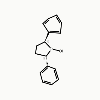 OP1[C@H](c2ccccc2)CC[C@H]1c1ccccc1